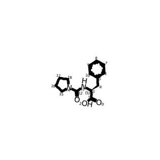 O=C(O)[C@H](Cc1ccccc1)NC(=O)N1CCCC1